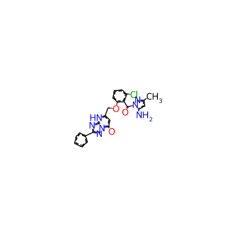 Cc1cc(N)n(C(=O)c2c(Cl)cccc2OCc2cc(=O)n3nc(-c4ccccc4)nc3[nH]2)n1